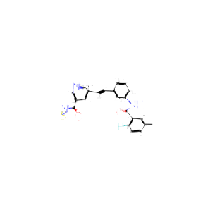 Cc1ccc(F)c(C(=O)Nc2cccc(C#Cc3cncc(C(=O)N=S)c3)c2)c1